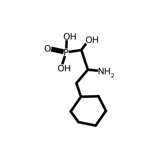 NC(CC1CCCCC1)C(O)P(=O)(O)O